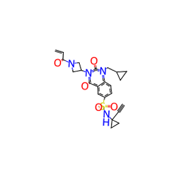 C#CC1(NS(=O)(=O)c2ccc3c(c2)c(=O)n(C2CN(C(=O)C=C)C2)c(=O)n3CC2CC2)CC1